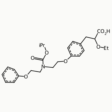 CCOC(Cc1ccc(OCCN(CCOc2ccccc2)C(=O)OC(C)C)cc1)C(=O)O